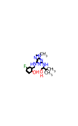 CC(C)C(CO)Nc1nc(NCc2cc(F)ccc2O)c2ncn(C)c2n1